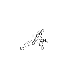 CCC1CC2CC(CC(=O)S[C@@H]3CC4=CC(=O)CCC4(C)C4CCC5(C)C(CC[C@@]56CCC(=O)O6)C43)CC(C1)C2